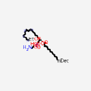 CC/C=C\C/C=C\C/C=C\C/C=C\CCCCC(=O)O[C@H](COC(=O)CCCCCCCCCCCCCCCCCCCCC)COP(=O)(O)OCCN